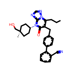 CCCc1c(Cc2ccc(-c3ccccc3C#N)cc2)c(=O)n([C@H]2CC[C@](C)(CO)CC2)c2ncnn12